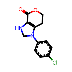 O=C1OCCC2=C1NCN2c1ccc(Cl)cc1